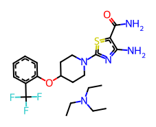 CCN(CC)CC.NC(=O)c1sc(N2CCC(Oc3ccccc3C(F)(F)F)CC2)nc1N